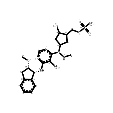 CNN(c1ncnc(N[C@@H]2c3ccccc3C[C@@H]2OC)c1N)C1CC(O)C(COS(N)(=O)=O)C1